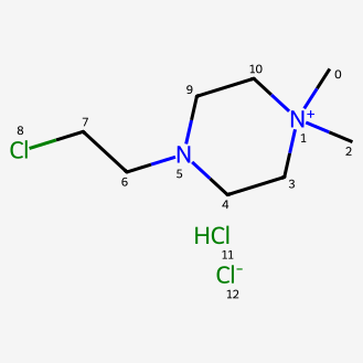 C[N+]1(C)CCN(CCCl)CC1.Cl.[Cl-]